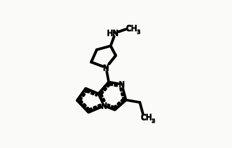 CCc1cn2cccc2c(N2CCC(NC)C2)n1